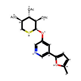 CC(=O)O[C@@H]1[C@@H](OC(C)=O)[C@@H](Oc2cncc(-c3ccc(C)o3)c2)SC[C@H]1OC(C)=O